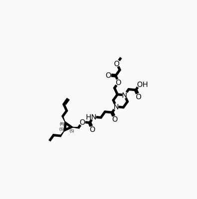 C=CCC[C@@H]1[C@H](CCC)[C@@H]1COC(=O)NCCC(=O)N1CCN(CC(=O)O)C(COC(=O)COC)C1